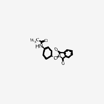 CC(=O)N[C@H]1CC[C@H](ON2C(=O)c3ccccc3C2=O)CC1